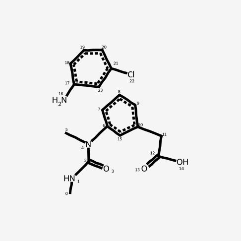 CNC(=O)N(C)c1cccc(CC(=O)O)c1.Nc1cccc(Cl)c1